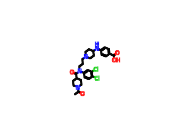 CC(=O)N1CCC(C(=O)N(CCCN2CCC(Nc3ccc(C(=O)O)cc3)CC2)c2ccc(Cl)c(Cl)c2)CC1